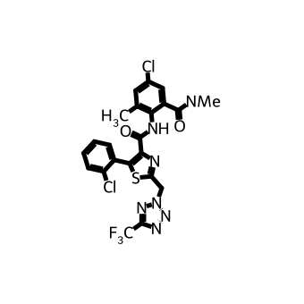 CNC(=O)c1cc(Cl)cc(C)c1NC(=O)c1nc(Cn2nnc(C(F)(F)F)n2)sc1-c1ccccc1Cl